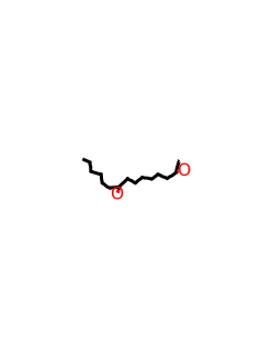 CCCCCC1OC1CCCCCCC1CO1